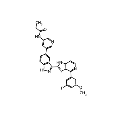 CCC(=O)Nc1cncc(-c2ccc3[nH]nc(-c4nc5c(-c6cc(F)cc(OC)c6)nccc5[nH]4)c3c2)c1